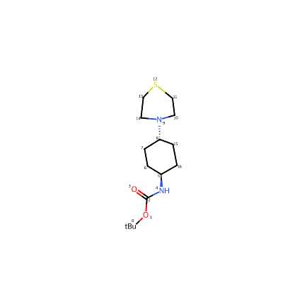 CC(C)(C)OC(=O)N[C@H]1CC[C@H](N2CCSCC2)CC1